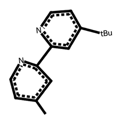 Cc1ccnc(-c2cc(C(C)(C)C)ccn2)c1